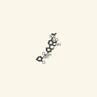 Cc1cnc(-c2ccc(-c3ccc(NC(=O)Nc4ccccc4Cl)cc3F)c3c2C(=O)NC3)[nH]1